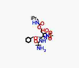 CC(C)CNC(=O)OCCc1c([C@@H](COCc2ccccc2)NC(=O)C(C)(C)N)nn(S(C)(=O)=O)c1O